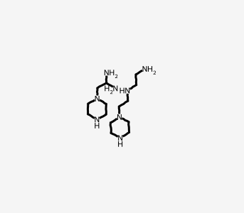 NC(N)CN1CCNCC1.NCCNCCN1CCNCC1